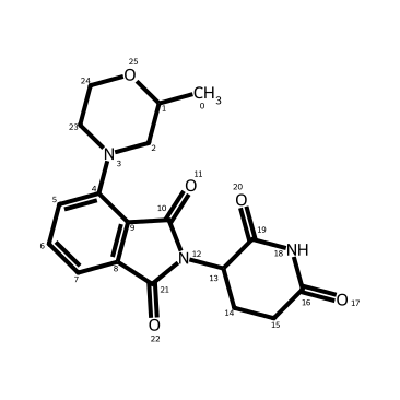 CC1CN(c2cccc3c2C(=O)N(C2CCC(=O)NC2=O)C3=O)CCO1